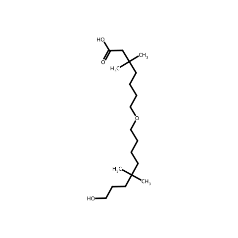 CC(C)(CCCO)CCCCOCCCCC(C)(C)CC(=O)O